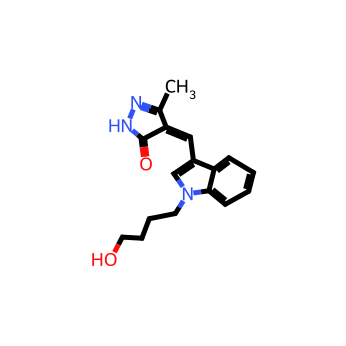 CC1=NNC(=O)C1=Cc1cn(CCCCO)c2ccccc12